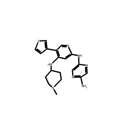 CN1CCC(Nc2cc(Nc3cnc(N)cn3)ncc2-c2ccsc2)CC1